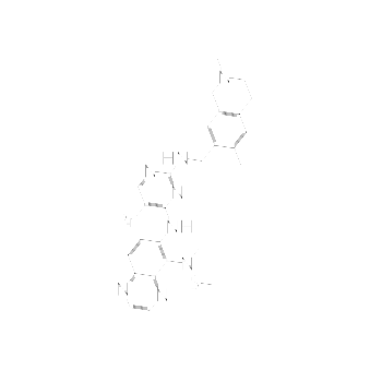 CSN(C)c1c(Nc2nc(NCc3cc4c(cc3C)CCN(C)C4)ncc2Br)ccc2nccnc12